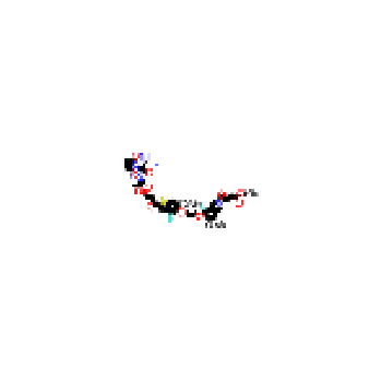 COc1cc2c(c(F)c1OCCCOc1c(OC)cc3sc(C(=O)CCC(=O)O[C@@H](C)CNC(=O)[C@H](CN)N4C(=O)C=CC4=O)cc3c1F)CN(C(=O)CCC(=O)OC(C)(C)C)C2